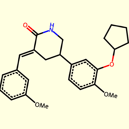 COc1cccc(C=C2CC(c3ccc(OC)c(OC4CCCC4)c3)CNC2=O)c1